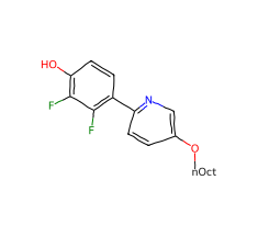 CCCCCCCCOc1ccc(-c2ccc(O)c(F)c2F)nc1